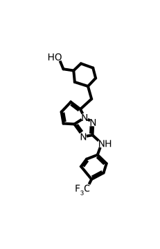 OCC1CCCC(Cc2cccc3nc(Nc4ccc(C(F)(F)F)cc4)nn23)C1